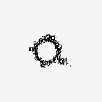 CC[C@H](C)[C@@H]1NC(=O)[C@H](CC)N(C)C(=O)C[C@@H](C(=O)N2CCCC2)N(C)C(=O)[C@H](C2CCCCC2)N(C)C(=O)C2(CCCC2)NC(=O)[C@@H]2CCCN2C(=O)[C@H](CCc2ccc(C(F)(F)F)c(Cl)c2)NC(=O)CN(C)C(=O)[C@H](CC2CCCC2)N(C)C(=O)CN(C)C(=O)CN(C)C1=O